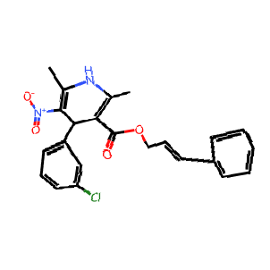 CC1=C(C(=O)OCC=Cc2ccccc2)C(c2cccc(Cl)c2)C([N+](=O)[O-])=C(C)N1